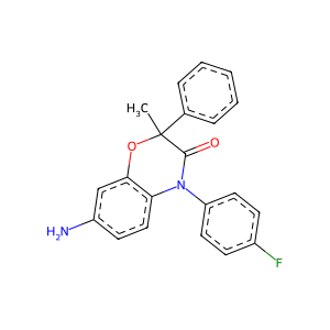 CC1(c2ccccc2)Oc2cc(N)ccc2N(c2ccc(F)cc2)C1=O